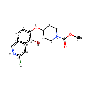 CC(C)(C)OC(=O)N1CCC(Oc2ccc3cnc(Cl)cc3c2Br)CC1